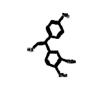 CC=C(c1ccc([N+](=O)[O-])cc1)c1ccc(OC)c(OC)c1